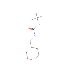 CCC(C)(C)NC(=O)NCC1CCOCC1